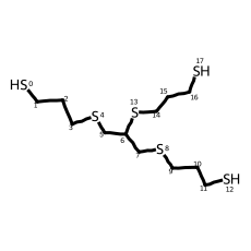 SCCCSCC(CSCCCS)SCCCS